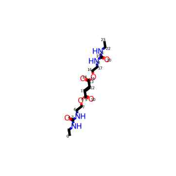 CCNC(=O)NCCOC(=O)/C=C/C(=O)OCCNC(=O)NCC